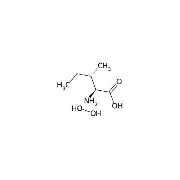 CC[C@H](C)[C@H](N)C(=O)O.OO